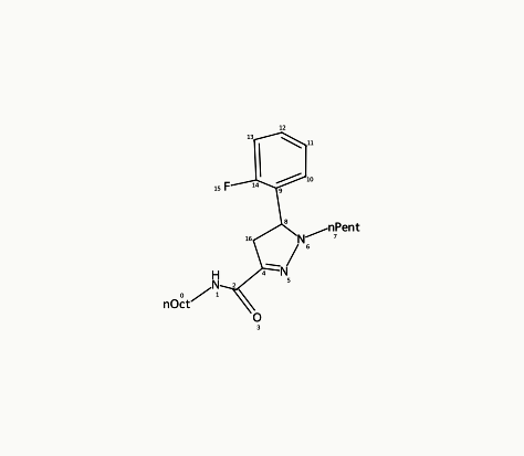 CCCCCCCCNC(=O)C1=NN(CCCCC)C(c2ccccc2F)C1